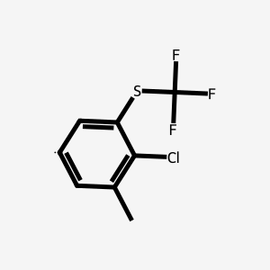 Cc1c[c]cc(SC(F)(F)F)c1Cl